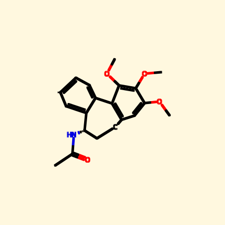 COc1cc2c(c(OC)c1OC)-c1cc[c]cc1[C@@H](NC(C)=O)CC2